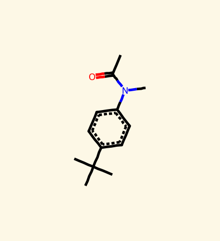 CC(=O)N(C)c1ccc(C(C)(C)C)cc1